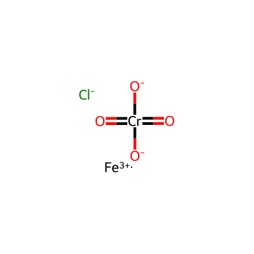 [Cl-].[Fe+3].[O]=[Cr](=[O])([O-])[O-]